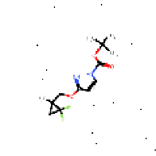 CC(C)(C)OC(=O)N/C=C\C(=N)OCC1(C)CC1(F)F